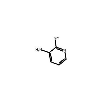 CCCc1ncccc1N